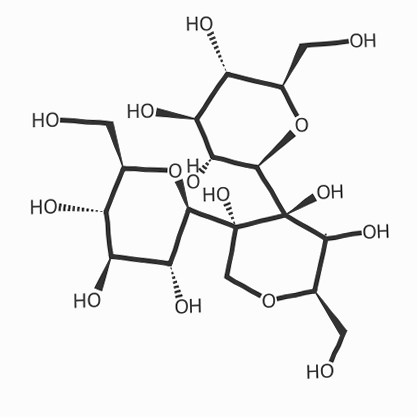 OC[C@H]1OC[C@@](O)([C@@H]2O[C@H](CO)[C@@H](O)[C@H](O)[C@H]2O)[C@](O)([C@@H]2O[C@H](CO)[C@@H](O)[C@H](O)[C@H]2O)[C]1O